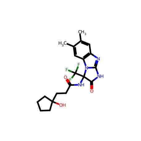 Cc1cc2nc3n(c2cc1C)C(NC(=O)CCC1(O)CCCC1)(C(F)(F)F)C(=O)N3